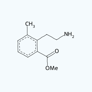 COC(=O)c1cccc(C)c1CCN